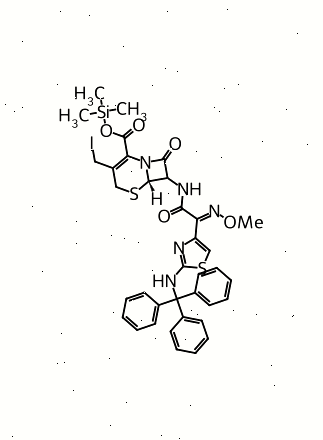 CON=C(C(=O)NC1C(=O)N2C(C(=O)O[Si](C)(C)C)=C(CI)CS[C@@H]12)c1csc(NC(c2ccccc2)(c2ccccc2)c2ccccc2)n1